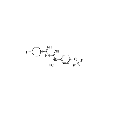 Cl.N=C(NC(=N)N1CCC(F)CC1)Nc1ccc(OC(F)(F)F)cc1